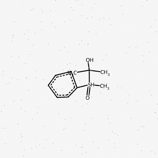 CC(C)(O)[SH](C)(=O)c1ccccc1